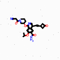 CC(C)Oc1cc2c(O[C@@H]3CCCN(C(=O)CC#N)C3)ncc(C#CC3CC(=O)C3)c2cc1C(N)=O